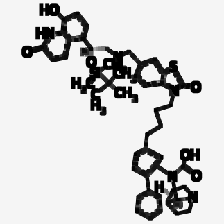 CC(C)(C)[Si](C)(C)O[C@@H](CNCc1ccc2c(c1)sc(=O)n2CCCCc1ccc(-c2ccccc2)c(N(C(=O)O)[C@H]2CN3CCC2CC3)c1)c1ccc(O)c2[nH]c(=O)ccc12